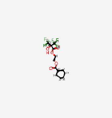 O=C(OCCOC(=O)C(O)(C(F)(F)F)C(F)(F)F)C1CCCCC1